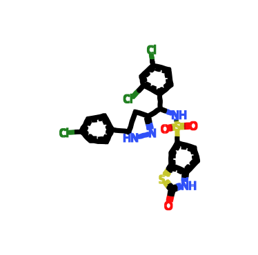 O=c1[nH]c2ccc(S(=O)(=O)NC(C3=NNC(c4ccc(Cl)cc4)C3)c3ccc(Cl)cc3Cl)cc2s1